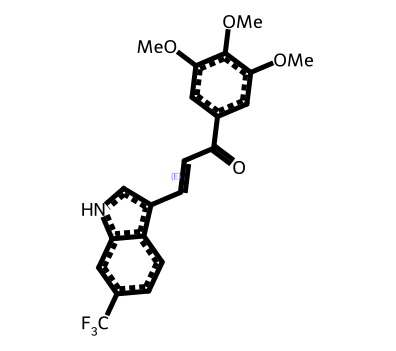 COc1cc(C(=O)/C=C/c2c[nH]c3cc(C(F)(F)F)ccc23)cc(OC)c1OC